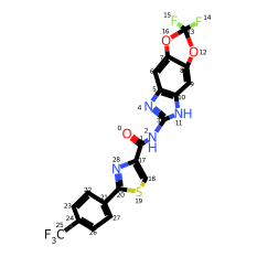 O=C(Nc1nc2cc3c(cc2[nH]1)OC(F)(F)O3)c1csc(-c2ccc(C(F)(F)F)cc2)n1